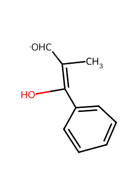 CC([C]=O)=C(O)c1ccccc1